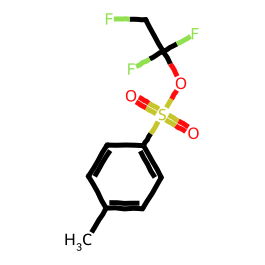 Cc1ccc(S(=O)(=O)OC(F)(F)CF)cc1